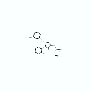 CC(C)(C)C(Cc1cn(S(=O)(=O)c2cccc(CO)c2)c(-c2cccnc2F)c1F)NC(=O)O